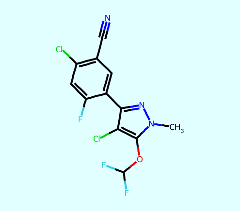 Cn1nc(-c2cc(C#N)c(Cl)cc2F)c(Cl)c1OC(F)F